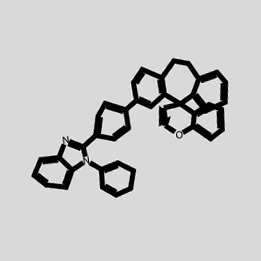 C1=CC(n2c(-c3ccc(-c4ccc5c(c4)C4(c6ccccc6CC5)c5ccccc5Oc5ccccc54)cc3)nc3ccccc32)=CCC1